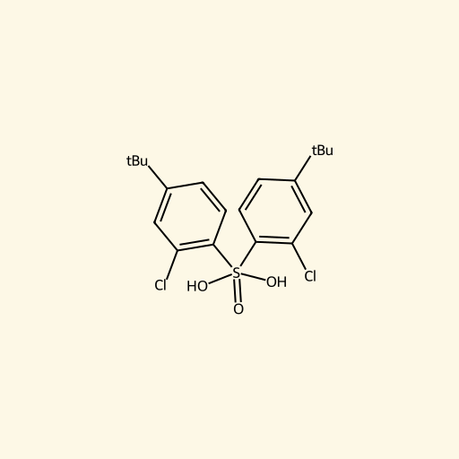 CC(C)(C)c1ccc(S(=O)(O)(O)c2ccc(C(C)(C)C)cc2Cl)c(Cl)c1